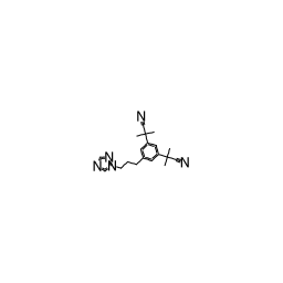 CC(C)(C#N)c1cc(CCCn2cncn2)cc(C(C)(C)C#N)c1